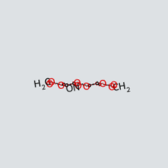 C=CC(=O)OCCCCCCOc1ccc2cc(C#Cc3ccc(OCCCCCCOc4ccc(C#Cc5ccc6cc(OCCCCCCOC(=O)C=C)ccc6c5)cc4C(=O)N=O)cc3)ccc2c1